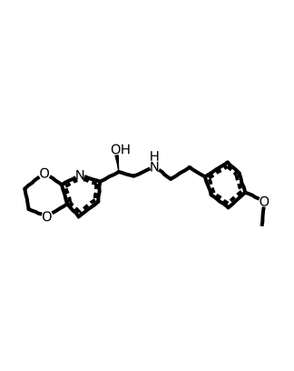 COc1ccc(CCNC[C@H](O)c2ccc3c(n2)OCCO3)cc1